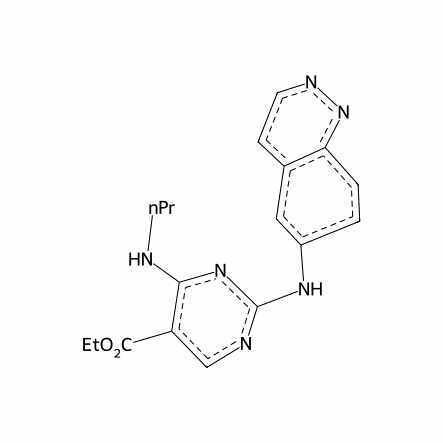 CCCNc1nc(Nc2ccc3nnccc3c2)ncc1C(=O)OCC